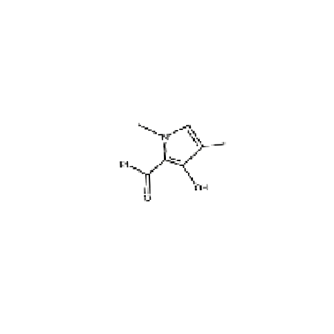 CCC(=O)c1c(O)c(C)cn1C